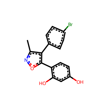 Cc1noc(-c2ccc(O)cc2O)c1-c1ccc(Br)cc1